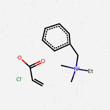 C=CC([O])=O.CC[N+](C)(C)Cc1ccccc1.[Cl-]